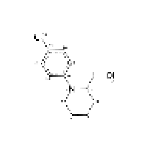 OCC1CCCCN1c1[c]cc(Cl)cc1